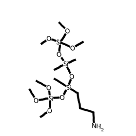 CO[Si](OC)(OC)O[Si](C)(C)O[Si](C)(CCCN)O[Si](OC)(OC)OC